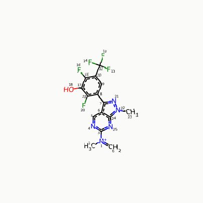 C=[N+](C)c1ncc2c(-c3cc(C(F)(F)F)c(F)c(O)c3F)nn(C)c2n1